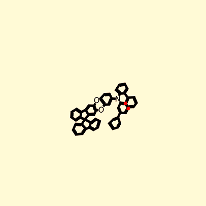 c1ccc(-c2cccc(N(c3ccc4c(c3)Oc3cc5c(cc3O4)-c3ccccc3C53c4ccccc4-c4ccccc43)c3ccccc3-c3ccccc3)c2)cc1